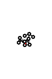 c1ccc(-c2ccccc2-n2c3ccc(-c4c(-c5ccccc5)cccc4-c4ccccc4)cc3c3cc(-n4c5ccccc5c5ccccc54)ccc32)cc1